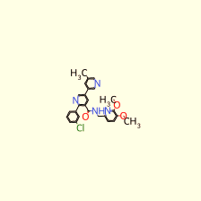 COc1ccc(CNC(=O)c2cc(-c3cncc(C)c3)cnc2-c2cccc(Cl)c2)nc1OC